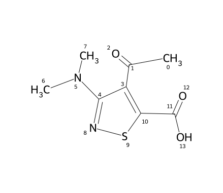 CC(=O)c1c(N(C)C)nsc1C(=O)O